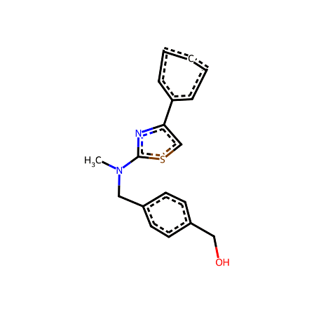 CN(Cc1ccc(CO)cc1)c1nc(-c2ccccc2)cs1